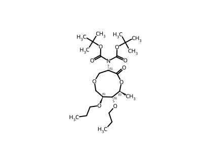 CCCO[C@H]1[C@H](C)OC(=O)[C@@H](N(C(=O)OC(C)(C)C)C(=O)OC(C)(C)C)COC[C@@H]1OCCC